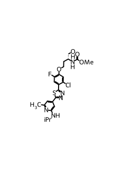 COC(=O)N[C@@H](CO)CCOc1cc(Cl)c(-c2nnc(-c3cc(C)nc(NC(C)C)c3)s2)cc1F